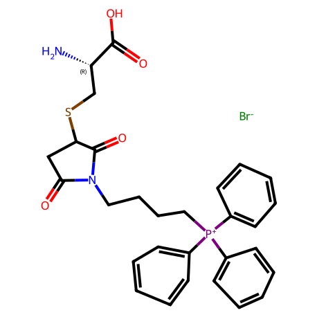 N[C@@H](CSC1CC(=O)N(CCCC[P+](c2ccccc2)(c2ccccc2)c2ccccc2)C1=O)C(=O)O.[Br-]